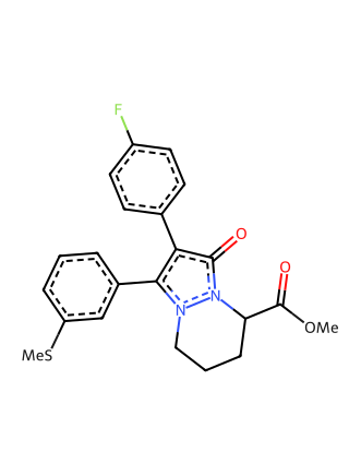 COC(=O)C1CCCn2c(-c3cccc(SC)c3)c(-c3ccc(F)cc3)c(=O)n21